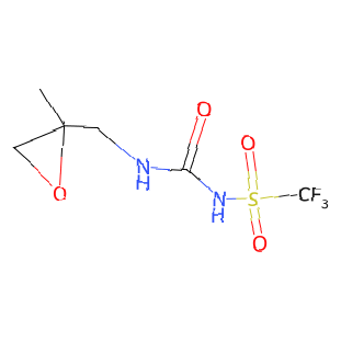 CC1(CNC(=O)NS(=O)(=O)C(F)(F)F)CO1